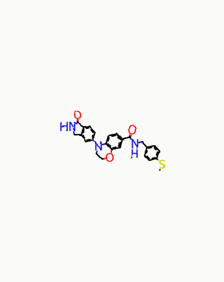 CSc1ccc(CNC(=O)c2ccc3c(c2)OCCN3c2ccc3c(c2)CNC3=O)cc1